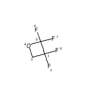 FC1(F)COC1(F)F